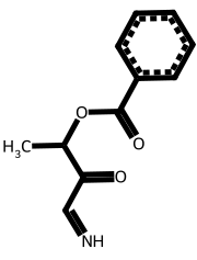 CC(OC(=O)c1ccccc1)C(=O)C=N